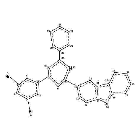 Brc1cc(Br)cc(-c2cc(-c3ccc4sc5ccccc5c4c3)nc(-c3ccccc3)n2)c1